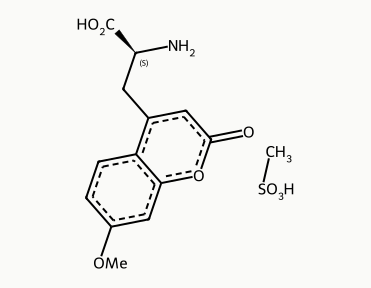 COc1ccc2c(C[C@H](N)C(=O)O)cc(=O)oc2c1.CS(=O)(=O)O